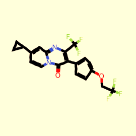 O=c1c(-c2ccc(OCC(F)(F)F)cc2)c(C(F)(F)F)nc2cc(C3CC3)ccn12